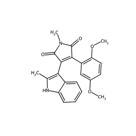 COc1ccc(OC)c(C2=C(c3c(C)[nH]c4ccccc34)C(=O)N(C)C2=O)c1